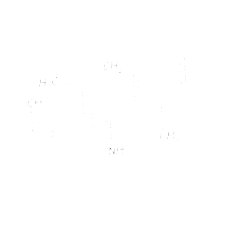 C=C(C)C(/C=C\C)=C(/N)c1ccccc1C